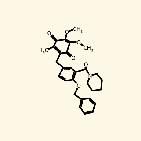 COC1=C(OC)C(=O)C(Cc2ccc(OCc3ccccc3)c(C(=O)N3CCCCC3)c2)=C(C)C1=O